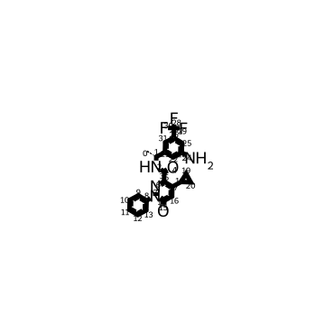 C[C@@H](NC(=O)c1nn(-c2ccccc2)c(=O)cc1C1CC1)c1cc(N)cc(C(F)(F)F)c1